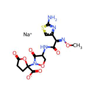 CO/N=C(\C(=O)NC1CON(C2(C(=O)[O-])CCC(=O)O2)C1=O)c1csc(N)n1.[Na+]